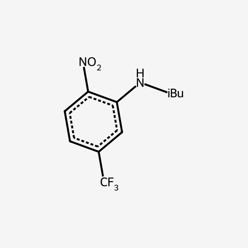 CCC(C)Nc1cc(C(F)(F)F)ccc1[N+](=O)[O-]